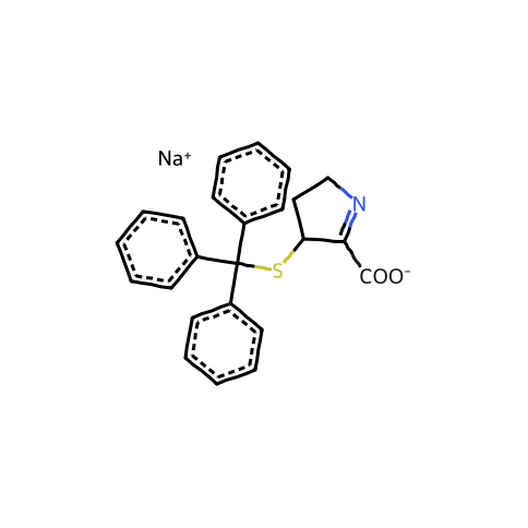 O=C([O-])C1=NCCC1SC(c1ccccc1)(c1ccccc1)c1ccccc1.[Na+]